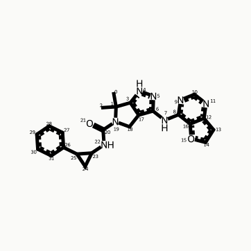 CC1(C)c2[nH]nc(Nc3ncnc4ccoc34)c2CN1C(=O)NC1CC1c1ccccc1